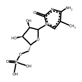 Cc1cn(C2O[C@H](COP(=O)(O)O)[C@@H](O)[C@H]2O)c(=O)nc1N